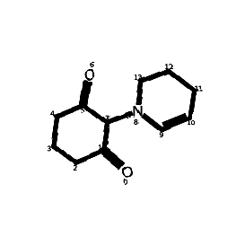 O=C1CCCC(=O)C1N1C=CCCC1